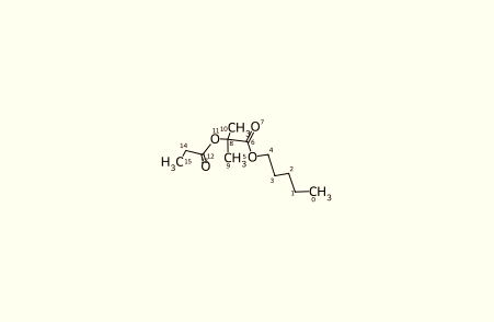 CCCCCOC(=O)C(C)(C)OC(=O)CC